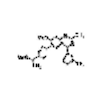 C=C(OC)c1ccc(-c2cc3c(-c4cccc(C(F)(F)F)c4)nc(C)nc3cc2OC)cc1